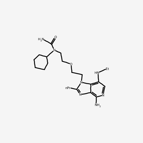 CCCc1nc2c(N)ncc(NCC)c2n1CCOCCN(C(N)=O)C1CCCCC1